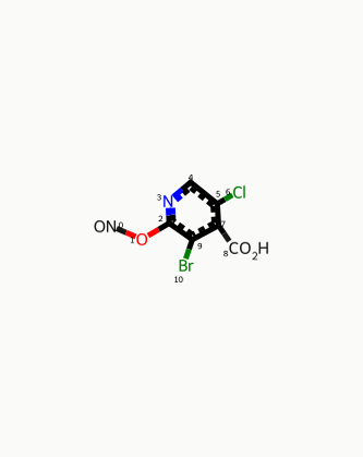 O=NOc1ncc(Cl)c(C(=O)O)c1Br